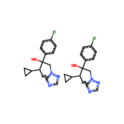 CC(C1CC1)C(O)(Cn1cncn1)c1ccc(Cl)cc1.CC(C1CC1)C(O)(Cn1cncn1)c1ccc(Cl)cc1